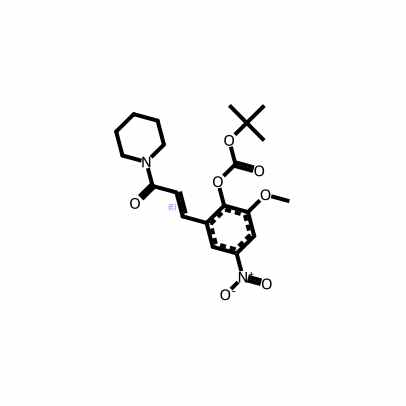 COc1cc([N+](=O)[O-])cc(/C=C/C(=O)N2CCCCC2)c1OC(=O)OC(C)(C)C